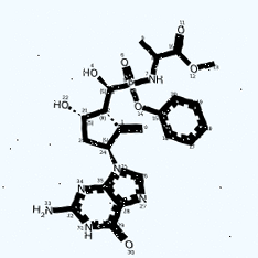 C=C1[C@@H]([C@@H](O)P(=O)(NC(C)C(=O)OC)Oc2ccccc2)[C@@H](O)C[C@@H]1n1cnc2c(=O)[nH]c(N)nc21